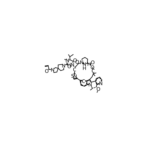 C=CC(=O)N1CCC2(CCN(C(=O)N(C)C(C(=O)N[C@H]3Cc4nc(cs4)-c4ccc5c(c4)c(c(-c4cccnc4[C@H](C)OC)n5CC)CC(C)(C)COC(=O)[C@@H]4CCCN(N4)C3=O)C(C)C)CC2)C1